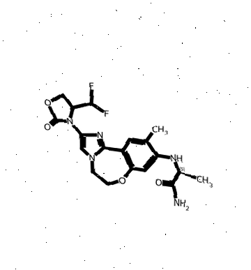 Cc1cc2c(cc1N[C@@H](C)C(N)=O)OCCn1cc(N3C(=O)OCC3C(F)F)nc1-2